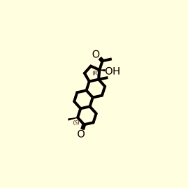 CC(=O)[C@@]1(O)CCC2C3CCC4C(CCC(=O)[C@H]4C)C3CCC21C